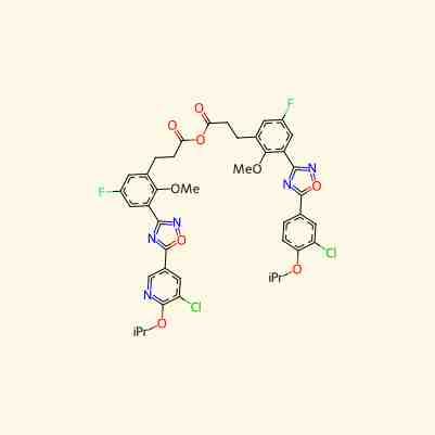 COc1c(CCC(=O)OC(=O)CCc2cc(F)cc(-c3noc(-c4cnc(OC(C)C)c(Cl)c4)n3)c2OC)cc(F)cc1-c1noc(-c2ccc(OC(C)C)c(Cl)c2)n1